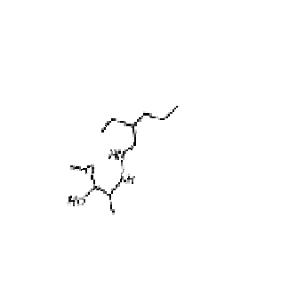 CCCC(CC)CNNC(C)C(O)OC